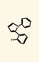 Fc1ccccc1-c1cccn1-c1ccccc1